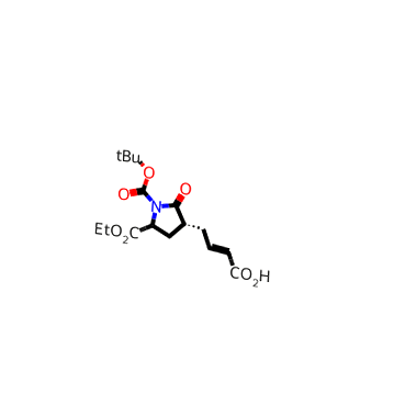 CCOC(=O)C1C[C@@H](C/C=C/C(=O)O)C(=O)N1C(=O)OC(C)(C)C